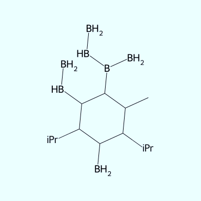 BBB(B)C1C(C)C(C(C)C)C(B)C(C(C)C)C1BB